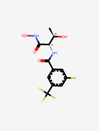 C[C@@H](O)[C@H](NC(=O)c1cc(F)cc(C(F)(F)F)c1)C(=O)NO